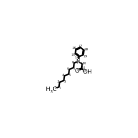 CCCCCCCCCN(CC(=O)O)c1ccccc1